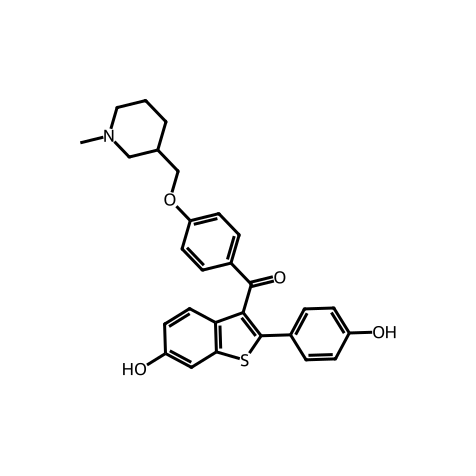 CN1CCCC(COc2ccc(C(=O)c3c(-c4ccc(O)cc4)sc4cc(O)ccc34)cc2)C1